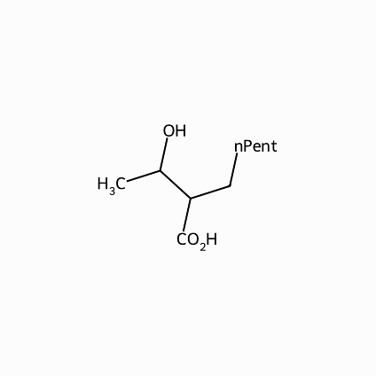 CCCCCCC(C(=O)O)C(C)O